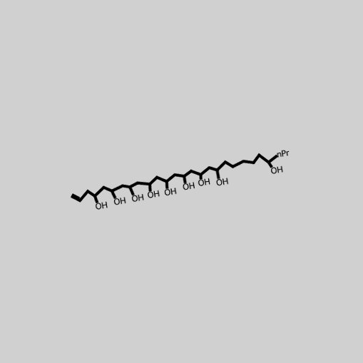 C=CCC(O)CC(O)CC(O)CC(O)CC(O)CC(O)CC(O)CC(O)CCCCCC(O)CCC